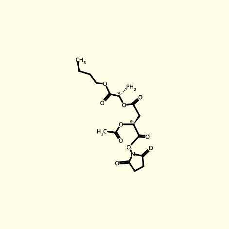 CCCCOC(=O)[C@H](P)OC(=O)C[C@H](OC(C)=O)C(=O)ON1C(=O)CCC1=O